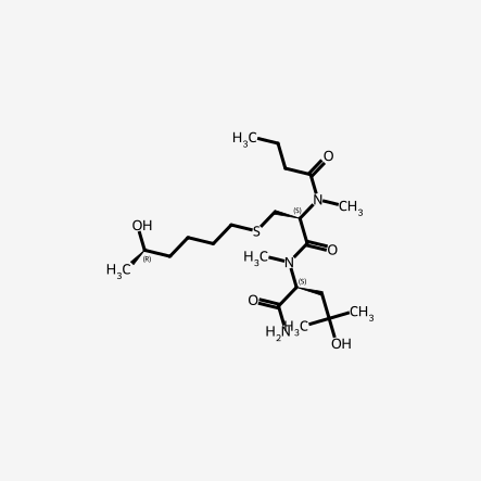 CCCC(=O)N(C)[C@H](CSCCCC[C@@H](C)O)C(=O)N(C)[C@@H](CC(C)(C)O)C(N)=O